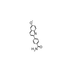 COc1ccc2nc(-c3ccc(C(N)=O)cc3)ccc2c1